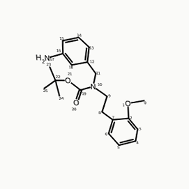 COc1ccccc1CCN(Cc1cccc(N)c1)C(=O)OC(C)(C)C